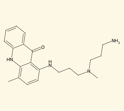 Cc1ccc(NCCCN(C)CCCN)c2c(=O)c3ccccc3[nH]c12